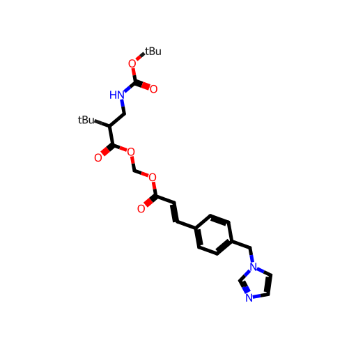 CC(C)(C)OC(=O)NCC(C(=O)OCOC(=O)/C=C/c1ccc(Cn2ccnc2)cc1)C(C)(C)C